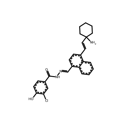 NC1(/C=C/c2ccc(/C=N/NC(=O)c3ccc(O)c(Cl)c3)c3ccccc23)CCCCC1